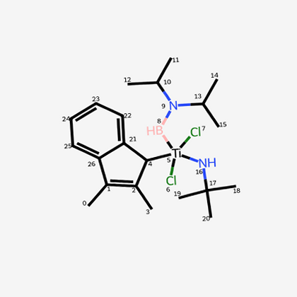 CC1=C(C)[CH]([Ti]([Cl])([Cl])([BH]N(C(C)C)C(C)C)[NH]C(C)(C)C)c2ccccc21